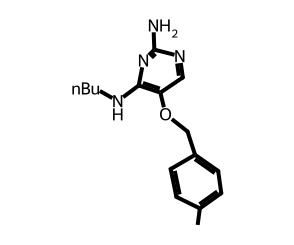 CCCCNc1nc(N)ncc1OCc1ccc(C)cc1